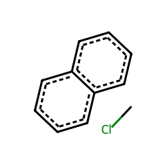 CCl.c1ccc2ccccc2c1